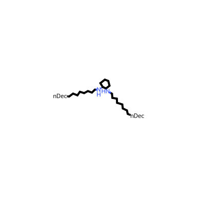 CCCCCCCCCCCCCCCCCCN[C@H]1CCCC[C@@H]1NCCCCCCCCCCCCCCCCCC